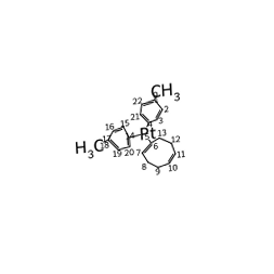 Cc1cc[c]([Pt]([C]2=CCCC=CCC2)[c]2ccc(C)cc2)cc1